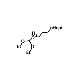 CCCCCCCCCC[SiH2]C(OCC)OCC